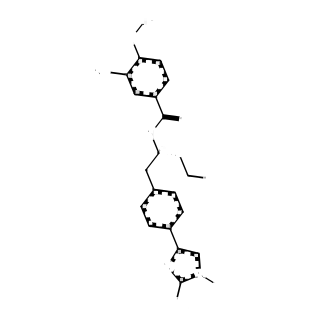 CC(C)Oc1ccc(C(=O)N[C@H](CCO)Cc2ccc(-c3cn(C)c(C(F)(F)F)n3)cc2)cc1C#N